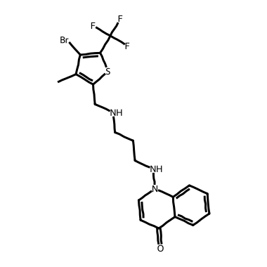 Cc1c(CNCCCNn2ccc(=O)c3ccccc32)sc(C(F)(F)F)c1Br